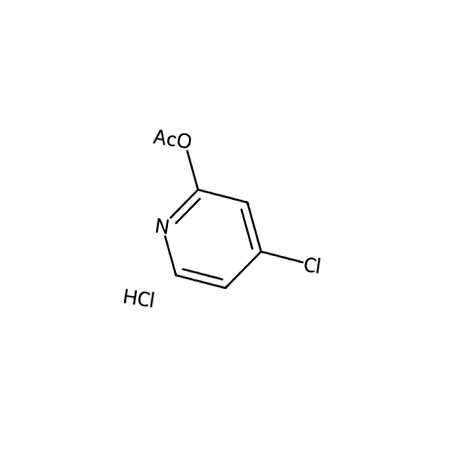 CC(=O)Oc1cc(Cl)ccn1.Cl